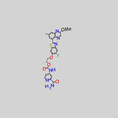 COc1cnc2c(-c3nc4cc(F)c(OC[C@@H](C)OC(=O)Nc5ccnc(C(N)=O)c5)cc4s3)cc(C)cc2n1